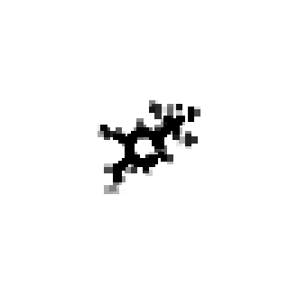 [2H]c1cc(C([2H])([2H])[2H])ncc1C=O